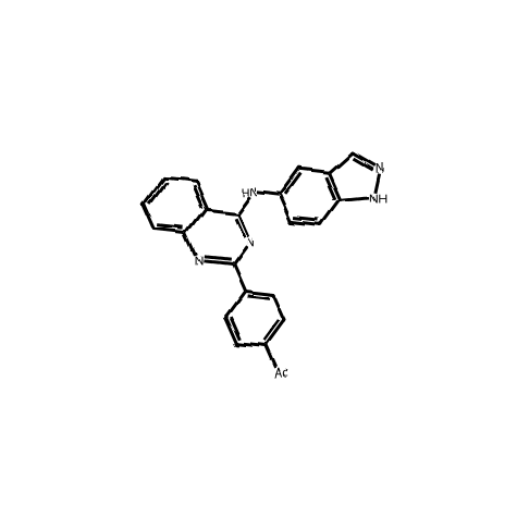 CC(=O)c1ccc(-c2nc(Nc3ccc4[nH]ncc4c3)c3ccccc3n2)cc1